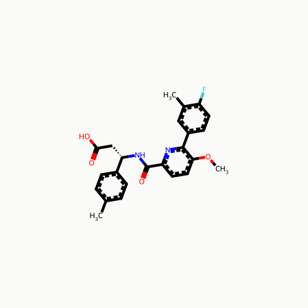 COc1ccc(C(=O)N[C@@H](CC(=O)O)c2ccc(C)cc2)nc1-c1ccc(F)c(C)c1